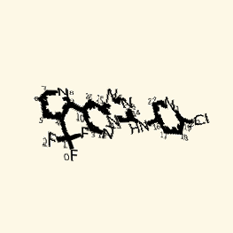 FC(F)(F)c1cccnc1-c1cnn2c(Nc3ccc(Cl)nc3)nnc2c1